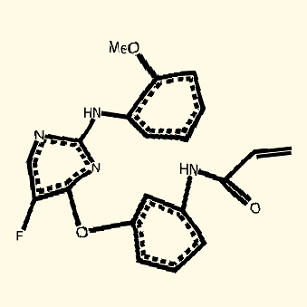 C=CC(=O)Nc1cccc(Oc2nc(Nc3ccccc3OC)ncc2F)c1